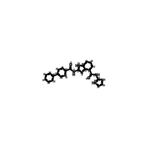 O=C(Nc1nc2c(C(=O)Nc3ncc[nH]3)cccc2[nH]1)c1ccc(-c2ccccc2)cn1